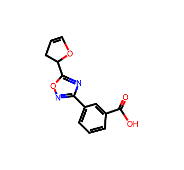 O=C(O)c1cccc(-c2noc(C3CC=CO3)n2)c1